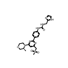 C[C@H]1COCCN1c1cc(CS(C)(=O)=O)nc(-c2ccc(NC(=O)NCc3ncc[nH]3)cc2)n1